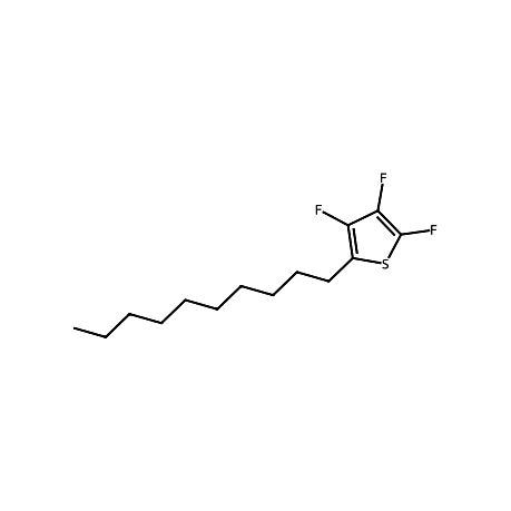 CCCCCCCCCCc1sc(F)c(F)c1F